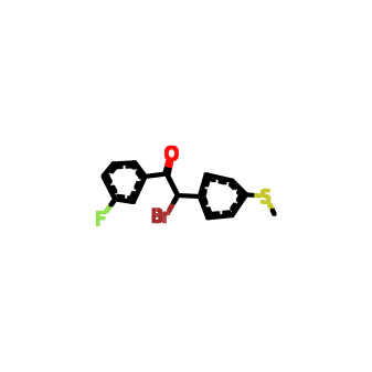 CSc1ccc(C(Br)C(=O)c2cccc(F)c2)cc1